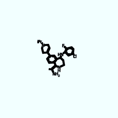 C/C(N)=C1/NCCC(Nc2cc(Cl)ccc2F)c2cc(C3=CCN(C(C)C)CC3)ccc21